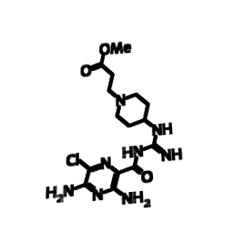 COC(=O)CCN1CCC(NC(=N)NC(=O)c2nc(Cl)c(N)nc2N)CC1